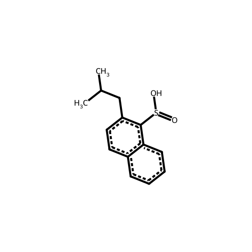 CC(C)Cc1ccc2ccccc2c1S(=O)O